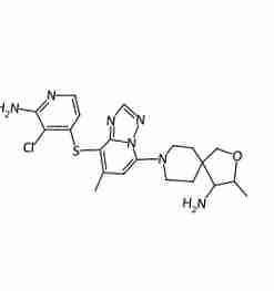 Cc1cc(N2CCC3(CC2)COC(C)C3N)n2ncnc2c1Sc1ccnc(N)c1Cl